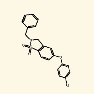 O=S1(=O)c2ccc(Oc3ccc(Cl)cc3)cc2CN1Cc1ccccc1